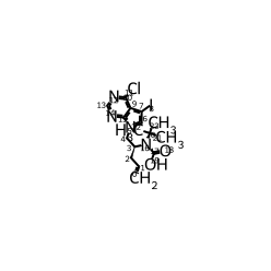 C=CC[C@@H](Cn1cc(I)c2c(Cl)ncnc21)N(C(=O)O)C(C)(C)C